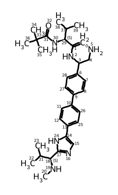 C=C(NC(CN)c1ccc(-c2ccc(-c3cnc([C@@H](NC)C(C)C)[nH]3)cc2)cc1)[C@@H](NC(=O)C(C)(C)C)C(C)C